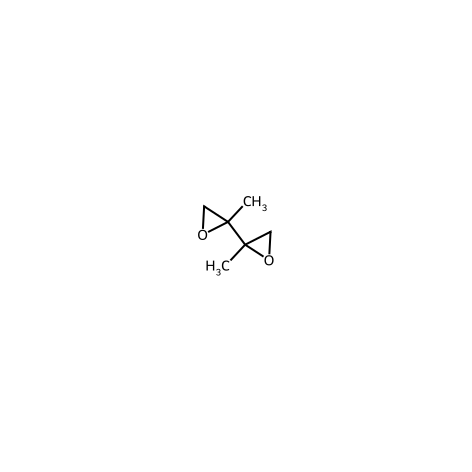 CC1(C2(C)CO2)CO1